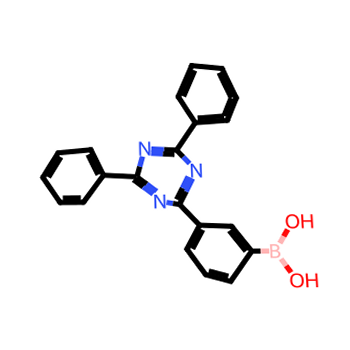 OB(O)c1cccc(-c2nc(C3=C=C=CC=C3)nc(-c3ccccc3)n2)c1